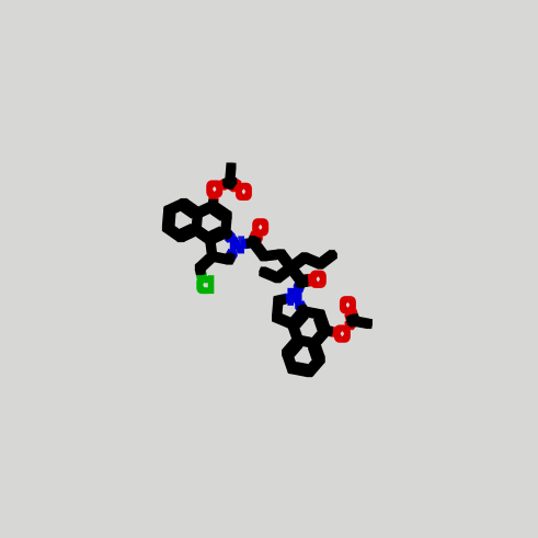 CCCC(CC)(CCC(=O)N1CC(CCl)c2c1cc(OC(C)=O)c1ccccc21)C(=O)N1CCc2c1cc(OC(C)=O)c1ccccc21